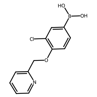 OB(O)c1ccc(OCc2ccccn2)c(Cl)c1